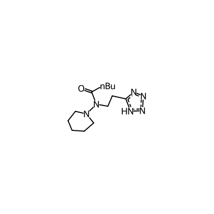 CCCCC(=O)N(CCc1nnn[nH]1)N1CCCCC1